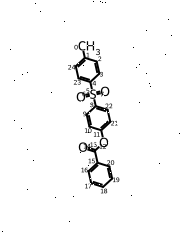 Cc1ccc(S(=O)(=O)c2ccc(OC(=O)c3ccccc3)cc2)cc1